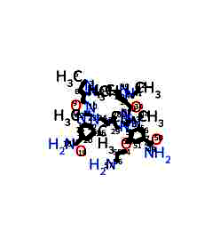 CCn1nc(C)cc1C(=O)/N=c1\n(C)c2cc(C(N)=O)ccc2n1C/C(C)=C(\C)Cn1/c(=N/C(=O)c2cc(C)nn2CC)n(C)c2cc(C(N)=O)cc(OCCCN)c21